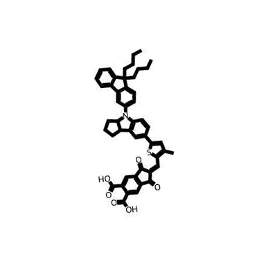 CCCCC1(CCCC)c2ccccc2-c2cc(N3c4ccc(-c5cc(C)c(C=C6C(=O)c7cc(C(=O)O)c(C(=O)O)cc7C6=O)s5)cc4C4CCCC43)ccc21